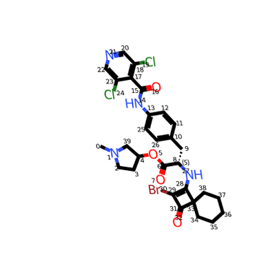 CN1CCC(OC(=O)[C@H](Cc2ccc(NC(=O)c3c(Cl)cncc3Cl)cc2)NC2=C(Br)C(=O)C23CCCCC3)C1